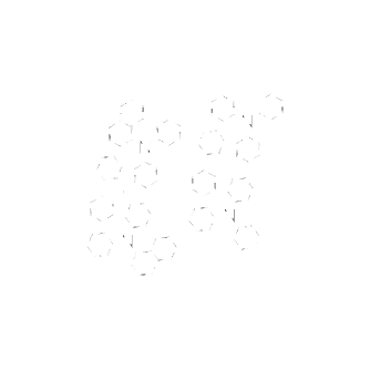 Cc1cccc(N(c2ccccc2)c2ccc3c(c2)C2(c4ccccc4-c4ccccc42)c2cc(N(c4ccccc4)c4cccc(Cc5ccc6c(N(c7ccccc7)c7ccc8c(c7)C7(c9ccccc9-c9ccccc97)c7cc(N(c9ccccc9)c9cccc%10ccccc9%10)ccc7-8)cccc6c5)c4)ccc2-3)c1